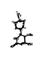 CC(C)(C)C1C(O)=CC(=O)NN1c1ccc(C(F)(F)F)nc1